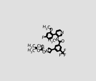 COc1cc(F)ccc1-c1ccncc1N(C)C(=O)c1cc(C2CN(OC(=O)OC(C)(C)C)C2)cc(C(F)(F)F)c1